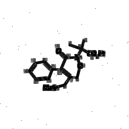 CCOC(=O)C(C)(C)N1OCC(CSC)=C(c2ccccc2)C1=O